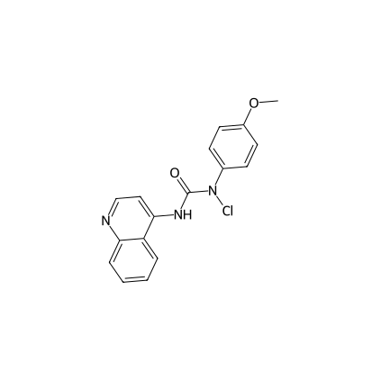 COc1ccc(N(Cl)C(=O)Nc2ccnc3ccccc23)cc1